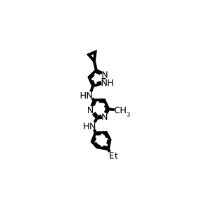 CCc1ccc(Nc2nc(C)cc(Nc3cc(C4CC4)n[nH]3)n2)cc1